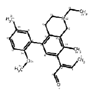 C/C=C(/C=O)c1cc(-c2cc(C)ccc2OC)c2c(c1C)CN(CC)CC2